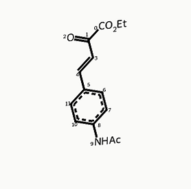 CCOC(=O)C(=O)/C=C/c1ccc(NC(C)=O)cc1